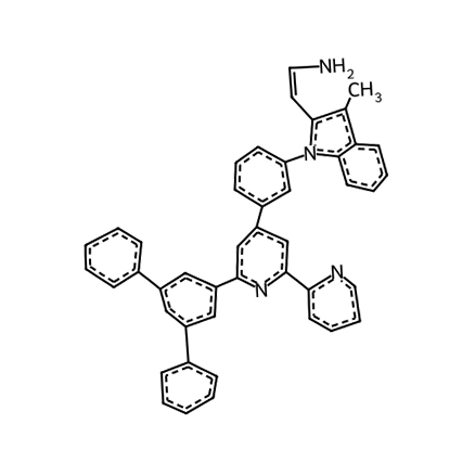 Cc1c(/C=C\N)n(-c2cccc(-c3cc(-c4cc(-c5ccccc5)cc(-c5ccccc5)c4)nc(-c4ccccn4)c3)c2)c2ccccc12